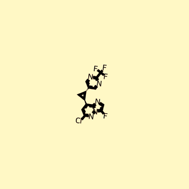 Fc1cnc2c([C@H]3C[C@@H]3c3cnc(C(F)(F)F)nc3)cc(Cl)nn12